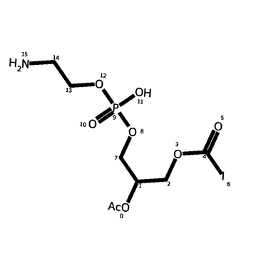 CC(=O)OC(COC(=O)I)COP(=O)(O)OCCN